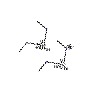 CCCCCCCC/C=C\CCCCCCCCC(C[N+](C)(CCO)CC(CCCCCCCC/C=C\CCCCCCCC)C(=O)O)C(=O)O.CCCCCCCC/C=C\CCCCCCCCC(C[N+](C)(CCO)CC(CCCCCCCC/C=C\CCCCCCCC)C(=O)O)C(=O)O.O=S(=O)([O-])[O-]